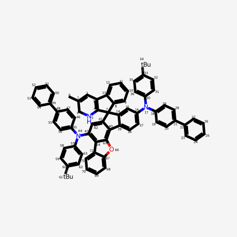 CC1=CC2=C(NC1)C1(c3ccccc32)c2cc(N(c3ccc(-c4ccccc4)cc3)c3ccc(C(C)(C)C)cc3)ccc2-c2c1cc(N(c1ccc(-c3ccccc3)cc1)c1ccc(C(C)(C)C)cc1)c1c2oc2ccccc21